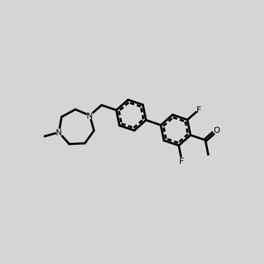 CC(=O)c1c(F)cc(-c2ccc(CN3CCCN(C)CC3)cc2)cc1F